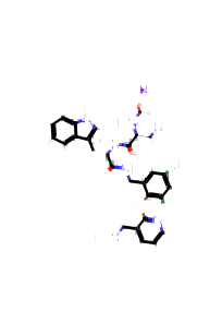 NCc1cccnc1Sc1c(Cl)cc(Cl)cc1CNC(=O)[C@H](Cc1c[nH]c2ccccc12)NC(=O)[C@H](CN)NCON